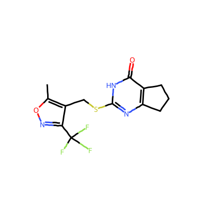 Cc1onc(C(F)(F)F)c1CSc1nc2c(c(=O)[nH]1)CCC2